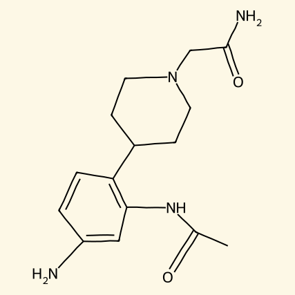 CC(=O)Nc1cc(N)ccc1C1CCN(CC(N)=O)CC1